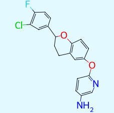 Nc1ccc(Oc2ccc3c(c2)CCC(c2ccc(F)c(Cl)c2)O3)nc1